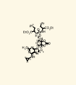 CCOC(=O)C(CC(C)C)NP(=O)(NC(CC(C)C)C(=O)OCC)OC[C@H]1O[C@@H](n2cnc3c(NC4CC4)nc(C)nc32)C2(C)OC(=O)O[C@@H]12